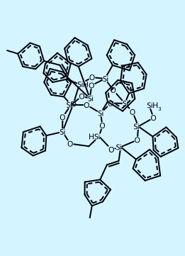 Cc1ccc(/C=C/[Si]2(c3ccccc3)O[SiH]3CO[Si]4(c5ccccc5)O[SiH](c5ccccc5)O[Si]5(c6ccccc6)O[Si](/C=C/c6ccc(C)cc6)(c6ccccc6)O[Si](c6ccccc6)(O4)O[Si](c4ccccc4)(O3)O[Si](c3ccccc3)(O[Si](O[SiH3])(c3ccccc3)O2)O5)cc1